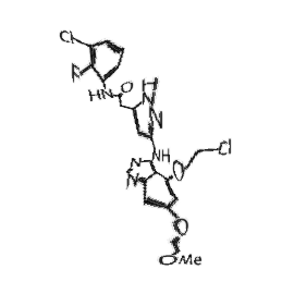 COCCOc1cc(OCCCl)c2c(Nc3cc(CC(=O)Nc4cccc(Cl)c4F)[nH]n3)ncnc2c1